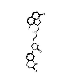 O=C1CSc2ccc(N3C[C@@H](CCNC[C@H]4Cn5c(=O)ccc6ccc(F)c4c65)OC3=O)cc2N1